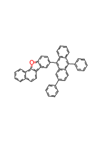 c1ccc(-c2ccc3c(-c4ccccc4)c4ccccc4c(-c4ccc5oc6c7ccccc7ccc6c5c4)c3c2)cc1